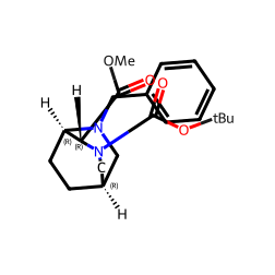 COC(=O)[C@H]1[C@H]2CC[C@H](CN2Cc2ccccc2)CN1C(=O)OC(C)(C)C